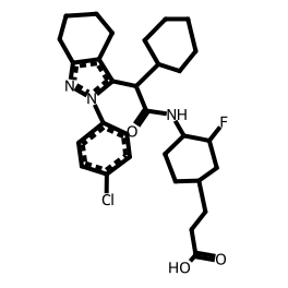 O=C(O)CCC1CCC(NC(=O)C(c2c3c(nn2-c2ccc(Cl)cc2)CCCC3)C2CCCCC2)C(F)C1